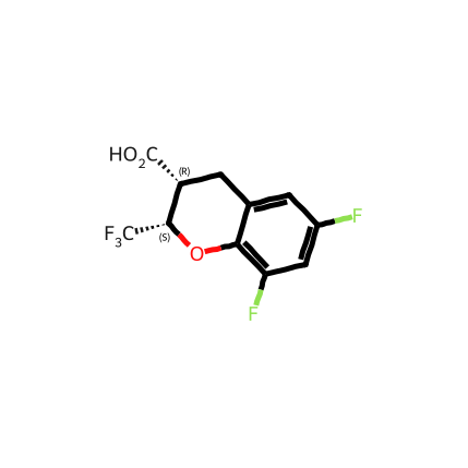 O=C(O)[C@@H]1Cc2cc(F)cc(F)c2O[C@@H]1C(F)(F)F